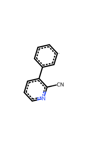 N#Cc1ncccc1-c1c[c]ccc1